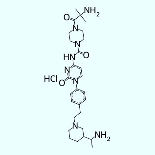 CC(N)C1CCCN(CCc2ccc(-n3ccc(NC(=O)N4CCN(C(=O)C(C)(C)N)CC4)nc3=O)cc2)C1.Cl